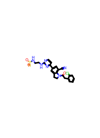 N#Cc1cc(-c2ccnc(NCCN[SH](=O)=O)n2)cc2c1N(C(=O)Cc1ccccc1Cl)CC2